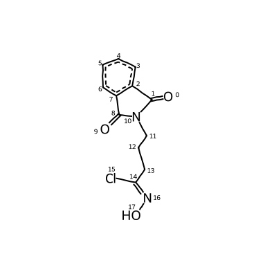 O=C1c2ccccc2C(=O)N1CCC/C(Cl)=N/O